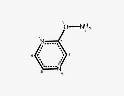 NOc1cnccn1